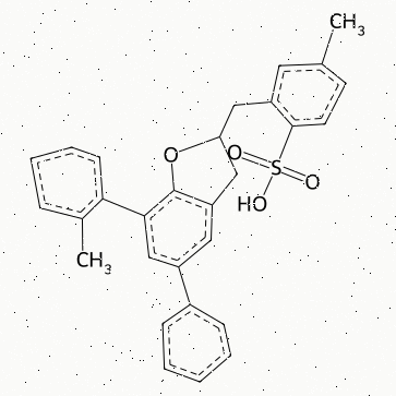 Cc1ccc(S(=O)(=O)O)c(CC2Cc3cc(-c4ccccc4)cc(-c4ccccc4C)c3O2)c1